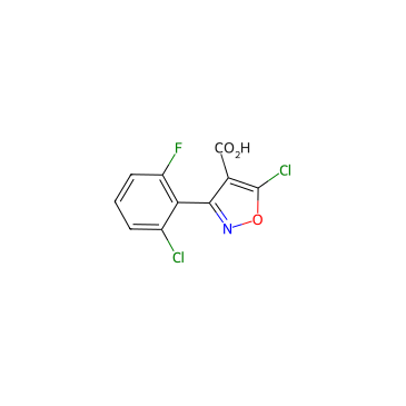 O=C(O)c1c(-c2c(F)cccc2Cl)noc1Cl